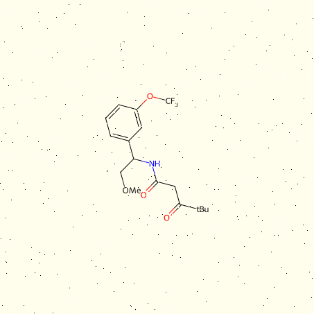 COCC(NC(=O)CC(=O)C(C)(C)C)c1cccc(OC(F)(F)F)c1